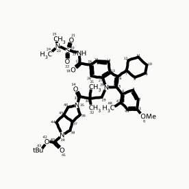 COc1ccc(-c2c(C3CCCCC3)c3ccc(C(=O)NS(=O)(=O)N(C)C)cc3n2CC(C)(C)C(=O)N2CC3CN(C(=O)OC(C)(C)C)CC3C2)c(C)c1